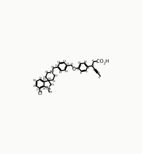 CC#CC(CC(=O)O)c1ccc(OCc2ccc(CN3CCC4(CC3)CN(C)c3c(Cl)cccc34)cc2)cc1